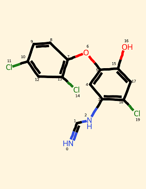 N=CNc1cc(Oc2ccc(Cl)cc2Cl)c(O)cc1Cl